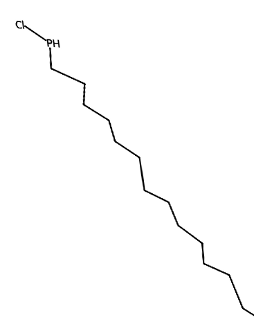 CCCCCCCCCCCCCCPCl